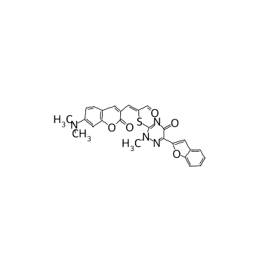 CN(C)c1ccc2cc(/C=C(/C=O)Sc3nc(=O)c(-c4cc5ccccc5o4)nn3C)c(=O)oc2c1